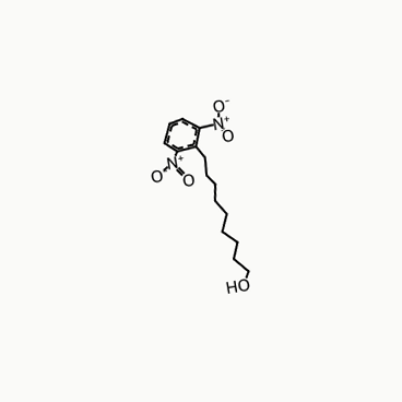 O=[N+]([O-])c1cccc([N+](=O)[O-])c1CCCCCCCCCO